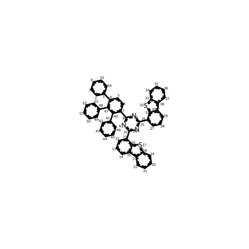 c1ccc(-c2ccc(-c3nc(-c4cccc5c4sc4ccccc45)nc(-c4cccc5c4sc4ccccc45)n3)c(-c3ccccc3)c2-c2ccccc2)cc1